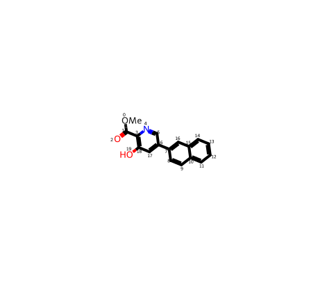 COC(=O)c1ncc(-c2ccc3ccccc3c2)cc1O